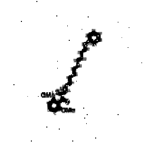 COc1cccc(OC)c1C(=O)[PH](=O)CCCCCCCCCCCCc1ccccc1